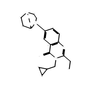 CCc1nc2ccc(N3CCN4CCC3CC4)cc2c(=O)n1CC1CC1